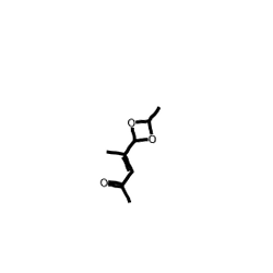 CC(=O)C=C(C)C1OC(C)O1